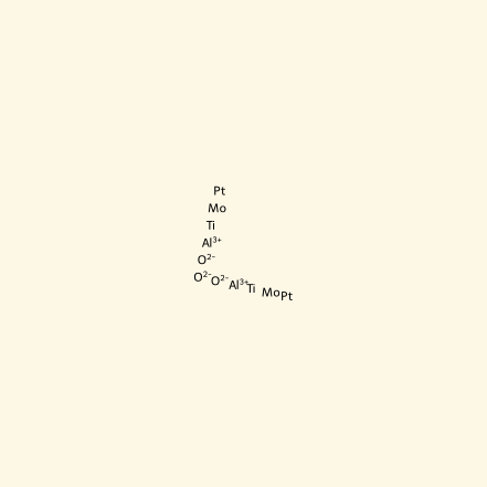 [Al+3].[Al+3].[Mo].[Mo].[O-2].[O-2].[O-2].[Pt].[Pt].[Ti].[Ti]